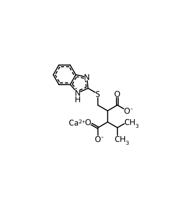 CC(C)C(C(=O)[O-])C(CSc1nc2ccccc2[nH]1)C(=O)[O-].[Ca+2]